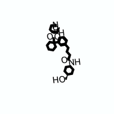 O=C(CCCc1cccc(C2(C(=O)O[C@H]3CN4CCC3CC4)CCCCC2)c1)N[C@H]1CC[C@H](CO)CC1